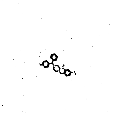 COc1ccc(CN2CCN(C(c3ccccc3)c3ccc(F)cc3)CC2)c(OC)c1